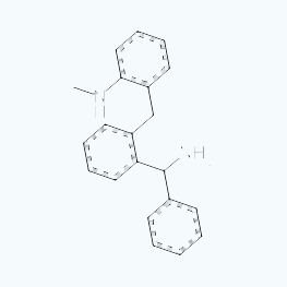 CNc1ccccc1Cc1ccccc1C(N)c1ccccc1